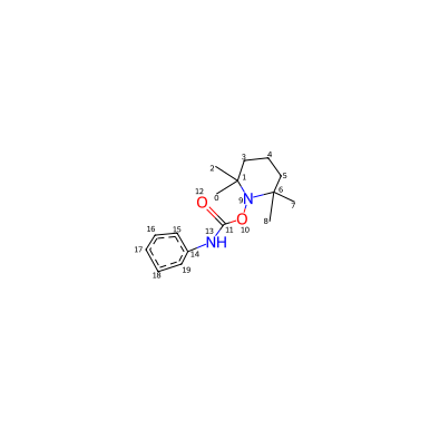 CC1(C)CCCC(C)(C)N1OC(=O)Nc1ccccc1